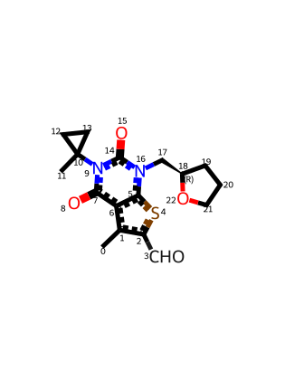 Cc1c(C=O)sc2c1c(=O)n(C1(C)CC1)c(=O)n2C[C@H]1CCCO1